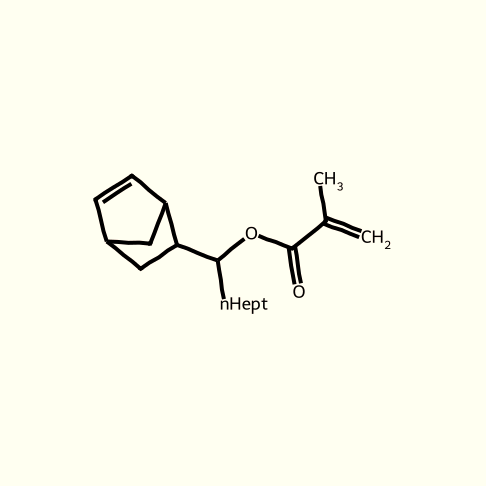 C=C(C)C(=O)OC(CCCCCCC)C1CC2C=CC1C2